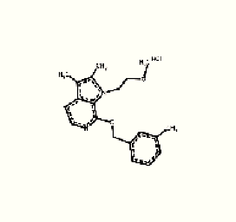 COCCn1c(C)c(C)c2ccnc(OCc3cccc(C)c3)c21.Cl